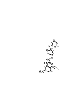 CCc1ncc(C)cc1NC(=O)NCc1ccc(Cc2ccncc2)cc1